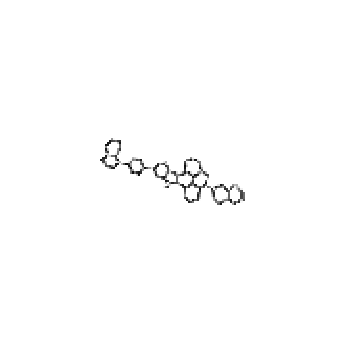 c1ccc2cc(-c3cc4cccc5c6c7ccc(-c8ccc(-c9cccc%10ccccc9%10)cc8)cc7sc6c6cccc3c6c45)ccc2c1